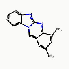 Bc1cc(B)c2nc3nc4ccccc4n3cc2c1